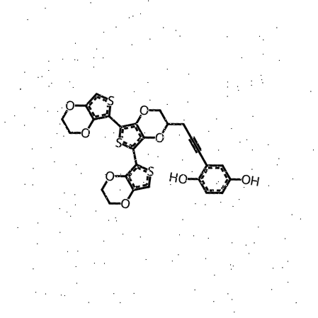 Oc1ccc(O)c(C#CCC2COc3c(-c4scc5c4OCCO5)sc(-c4scc5c4OCCO5)c3O2)c1